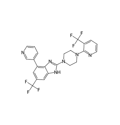 FC(F)(F)c1cc(-c2cccnc2)c2nc(N3CCN(c4ncccc4C(F)(F)F)CC3)[nH]c2c1